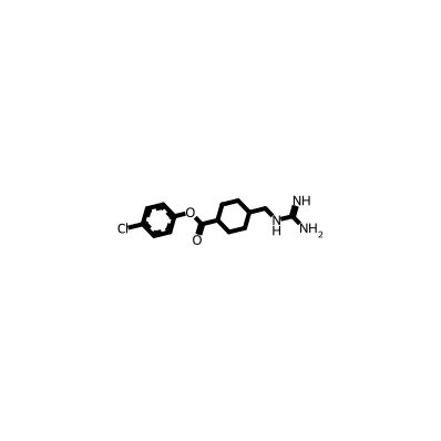 N=C(N)NCC1CCC(C(=O)Oc2ccc(Cl)cc2)CC1